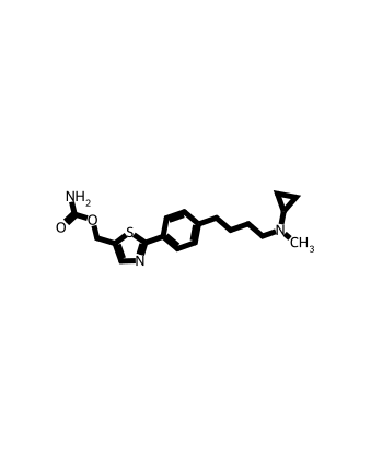 CN(CCCCc1ccc(-c2ncc(COC(N)=O)s2)cc1)C1CC1